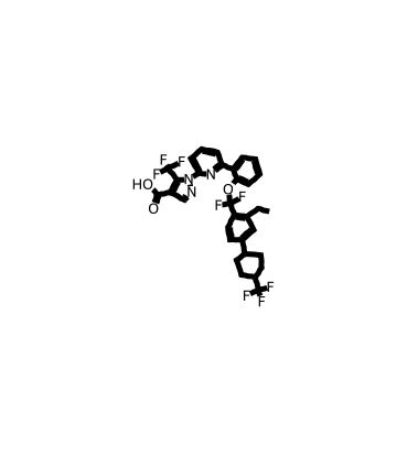 CCc1cc(C2CCC(C(F)(F)F)CC2)ccc1C(F)(F)Oc1ccccc1-c1cccc(-n2ncc(C(=O)O)c2C(F)(F)F)n1